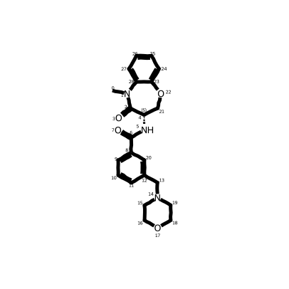 CN1C(=O)[C@@H](NC(=O)c2cccc(CN3CCOCC3)c2)COc2ccccc21